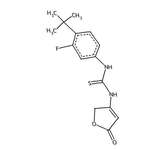 CC(C)(C)c1ccc(NC(=S)NC2=CC(=O)OC2)cc1F